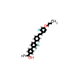 C=CCCOc1ccc(/C=C/C2CCC(c3ccc(-c4ccc(C(O)CCC)cc4)c(F)c3F)CC2)c(F)c1